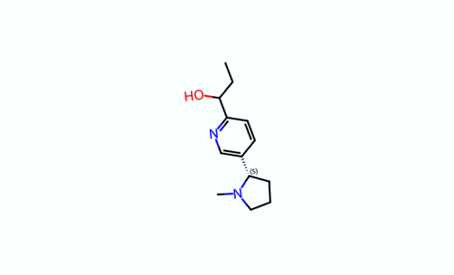 CCC(O)c1ccc([C@@H]2CCCN2C)cn1